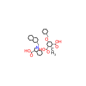 Cc1c(C(=O)O)cc(OCc2ccccc2)cc1C(=O)O.O=C(O)c1cn(Cc2ccc3ccccc3c2)c2ccccc12